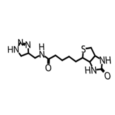 O=C(CCCCC1SCC2NC(=O)NC21)NCC1CNN=N1